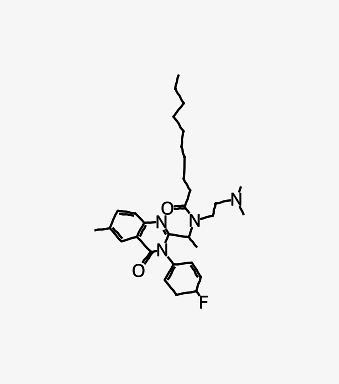 CCCCCCCCCC(=O)N(CCN(C)C)C(C)c1nc2ccc(C)cc2c(=O)n1C1=CCC(F)C=C1